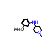 COc1cccc(NC2CCN(C)CC2)c1